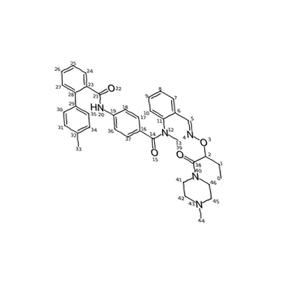 CCC(O/N=C/c1ccccc1N(C)C(=O)c1ccc(NC(=O)c2ccccc2-c2ccc(C)cc2)cc1)C(=O)N1CCN(C)CC1